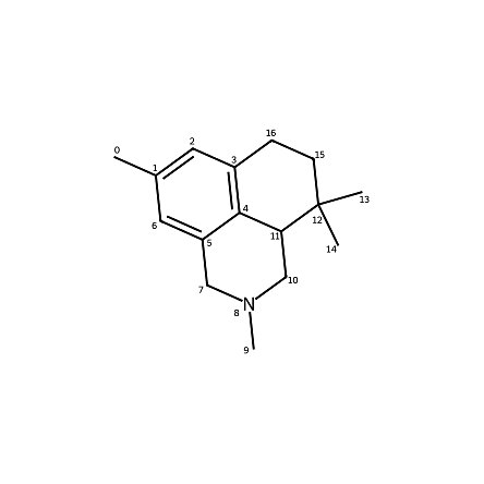 Cc1cc2c3c(c1)CN(C)CC3C(C)(C)CC2